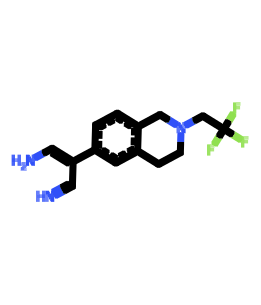 N=C/C(=C\N)c1ccc2c(c1)CCN(CC(F)(F)F)C2